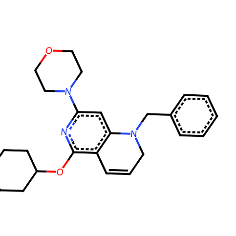 C1=Cc2c(cc(N3CCOCC3)nc2OC2CCCCC2)N(Cc2ccccc2)C1